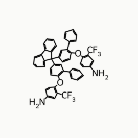 Nc1ccc(Oc2ccc(C3(c4ccc(Oc5ccc(N)cc5C(F)(F)F)c(-c5ccccc5)c4)c4ccccc4-c4ccccc43)cc2-c2ccccc2)c(C(F)(F)F)c1